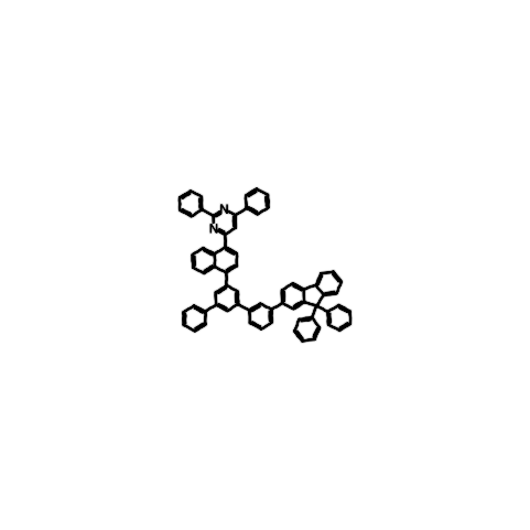 c1ccc(-c2cc(-c3cccc(-c4ccc5c(c4)C(c4ccccc4)(c4ccccc4)c4ccccc4-5)c3)cc(-c3ccc(-c4cc(-c5ccccc5)nc(-c5ccccc5)n4)c4ccccc34)c2)cc1